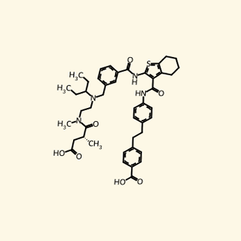 CCC(CC)N(CCN(C)C(=O)[C@H](C)CC(=O)O)Cc1cccc(C(=O)Nc2sc3c(c2C(=O)Nc2ccc(CCc4ccc(C(=O)O)cc4)cc2)CCCC3)c1